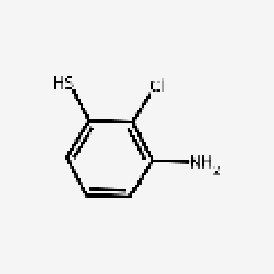 Nc1cccc(S)c1Cl